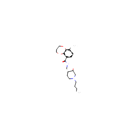 COCCCN1CC[C@@H](CNC(=O)c2ccc(OC)c3c2OCCCO3)C(O)C1